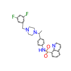 CC(c1ccc(NS(=O)(=O)c2cccc3cccnc23)cc1)N1CCN(Cc2cc(F)cc(F)c2)CC1